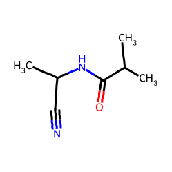 CC(C#N)NC(=O)C(C)C